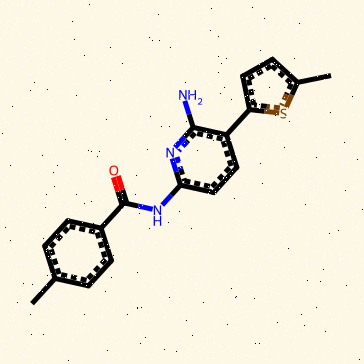 Cc1ccc(C(=O)Nc2ccc(-c3ccc(C)s3)c(N)n2)cc1